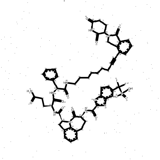 NC(=O)CC[C@H](NC(=O)[C@@H]1Cc2cccc3c2N1C(=O)[C@@H](NC(=O)c1nc2cc(C(F)(F)P(=O)(O)O)ccc2o1)CC3)C(=O)N[C@H](C(=O)NCCCCCCCC#Cc1cccc2c1CN(C1CCC(=O)NC1=O)C2=O)c1ccccc1